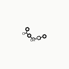 OC(CCN1CC=C(c2ccccc2)CC1)c1ccc(C(Cl)c2ccccc2)cc1